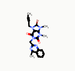 CC#CCN1c2c(n(C)c(=O)n(Cc3nc(C)c4ccccc4n3)c2=O)N(C)C1Br